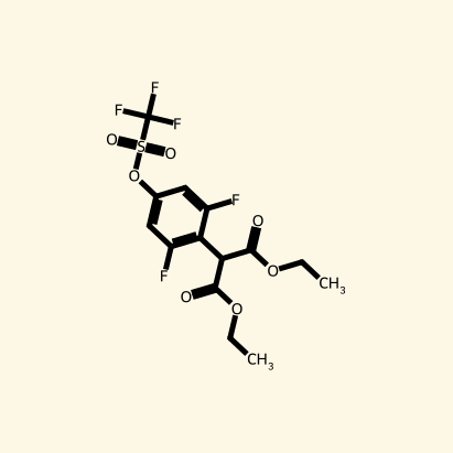 CCOC(=O)C(C(=O)OCC)c1c(F)cc(OS(=O)(=O)C(F)(F)F)cc1F